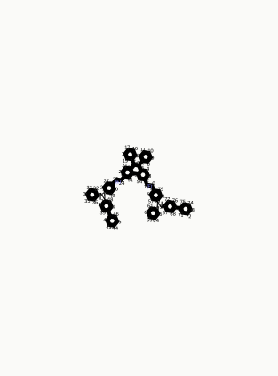 C(=C\c1ccc2c(-c3ccccc3)c(-c3ccccc3)c3ccc(/C=C/c4ccc(N(c5ccccc5)c5ccc(-c6ccccc6)cc5)cc4)cc3c2c1)/c1ccc(N(c2ccccc2)c2ccc(-c3ccccc3)cc2)cc1